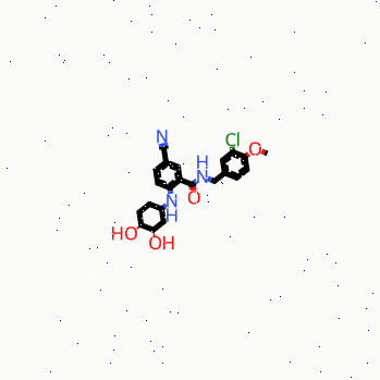 COc1ccc(CNC(=O)c2cc(C#N)ccc2NC2CC[C@@H](O)[C@@H](O)C2)cc1Cl